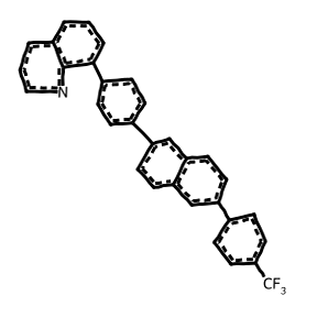 FC(F)(F)c1ccc(-c2ccc3cc(-c4ccc(-c5cccc6cccnc56)cc4)ccc3c2)cc1